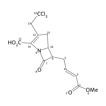 COC(=O)C=CCC1C(=O)N2C(C(=O)O)=C(CC(Cl)(Cl)Cl)CC12